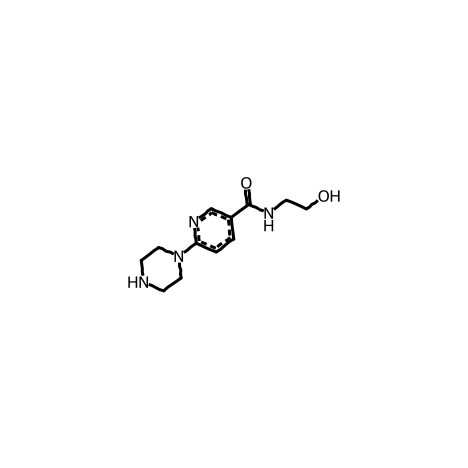 O=C(NCCO)c1ccc(N2CCNCC2)nc1